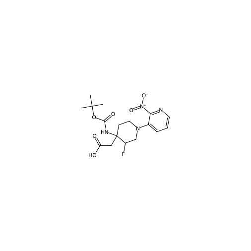 CC(C)(C)OC(=O)NC1(CC(=O)O)CCN(c2cccnc2[N+](=O)[O-])CC1F